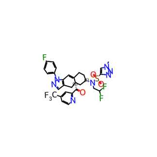 Cn1cc(S(=O)(=O)N(CC(F)F)[C@H]2CCC3=Cc4c(cnn4-c4ccc(F)cc4)C[C@]3(C(=O)c3cc(C(F)(F)F)ccn3)C2)nn1